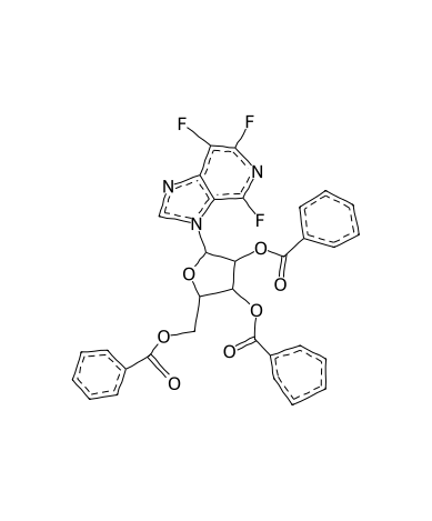 O=C(OCC1OC(n2cnc3c(F)c(F)nc(F)c32)C(OC(=O)c2ccccc2)C1OC(=O)c1ccccc1)c1ccccc1